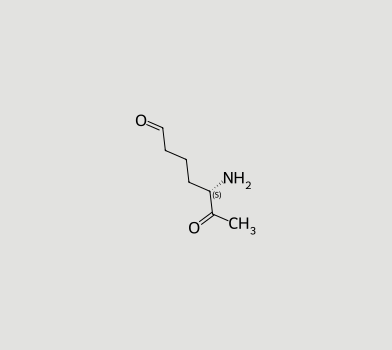 CC(=O)[C@@H](N)CCCC=O